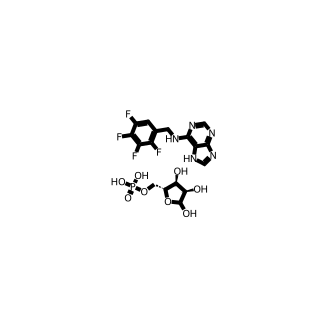 Fc1cc(CNc2ncnc3nc[nH]c23)c(F)c(F)c1F.O=P(O)(O)OC[C@H]1OC(O)[C@H](O)[C@@H]1O